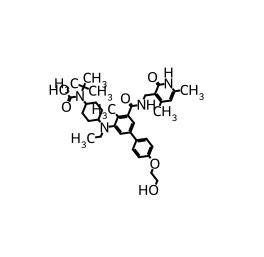 CCN(c1cc(-c2ccc(OCCO)cc2)cc(C(=O)NCc2c(C)cc(C)[nH]c2=O)c1C)C1CCC(N(C(=O)O)C(C)(C)C)CC1